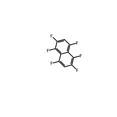 Fc1cc(F)c2c(F)c(F)cc(F)c2c1F